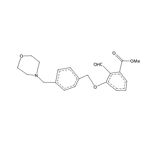 COC(=O)c1cccc(OCc2ccc(CN3CCOCC3)cc2)c1C=O